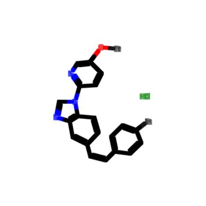 CCOc1ccc(-n2cnc3cc(/C=C\c4ccc(CC)cc4)ccc32)nc1.Cl